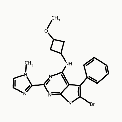 COC1CC(Nc2nc(-c3nccn3C)nc3sc(Br)c(-c4ccccc4)c23)C1